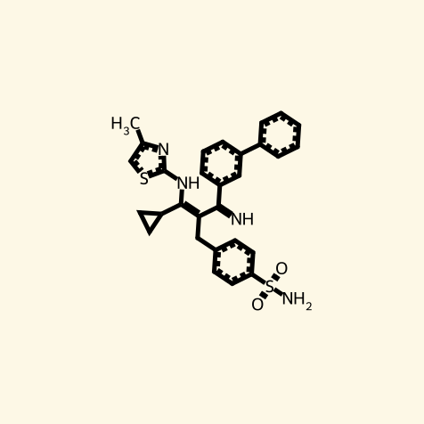 Cc1csc(N/C(=C(/Cc2ccc(S(N)(=O)=O)cc2)C(=N)c2cccc(-c3ccccc3)c2)C2CC2)n1